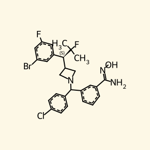 CC(C)(F)[C@H](c1cc(F)cc(Br)c1)C1CN(C(c2ccc(Cl)cc2)c2cccc(C(N)=NO)c2)C1